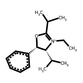 CC[N+]1=C(C(C)C)O[C@@H](c2ccccc2)[C@H]1C(C)C